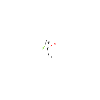 CCO.[F][Ag]